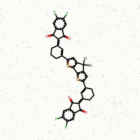 CCC1(CC)c2cc(C3=CC(=C4C(=O)c5cc(F)c(F)cc5C4=O)CCC3)sc2-c2sc(C3=CC(=C4C(=O)c5cc(F)c(F)cc5C4=O)CCC3)cc21